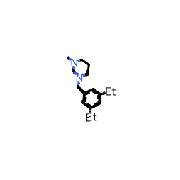 CCc1cc(CC)cc(CN2CCCN(C)C2)c1